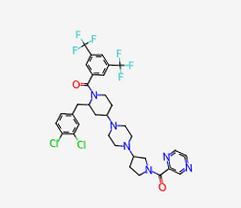 O=C(c1cnccn1)N1CCC(N2CCN(C3CCN(C(=O)c4cc(C(F)(F)F)cc(C(F)(F)F)c4)C(Cc4ccc(Cl)c(Cl)c4)C3)CC2)C1